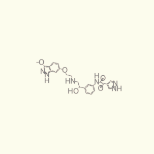 COc1n[nH]c2cc(OCCNC[C@H](O)c3cccc(NS(=O)(=O)c4cn[nH]c4)c3)ccc12